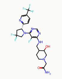 NC(=O)CN1CCC(CNc2ncnc(N3CC(F)(F)C[C@@H]3c3ccc(C(F)(F)F)cn3)c2F)C(O)C1